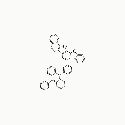 c1ccc(-c2c3ccccc3c(-c3cccc(-c4cc5c6ccc7ccccc7c6oc5c5oc6ccccc6c45)c3)c3ccccc23)cc1